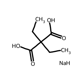 CCC(CC)(C(=O)O)C(=O)O.[NaH]